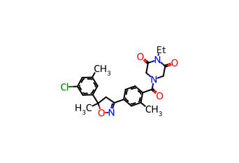 CCN1C(=O)CN(C(=O)c2ccc(C3=NOC(C)(c4cc(C)cc(Cl)c4)C3)cc2C)CC1=O